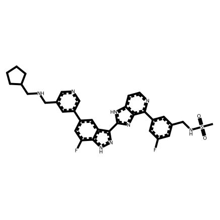 CS(=O)(=O)NCc1cc(F)cc(-c2nccc3[nH]c(-c4n[nH]c5c(F)cc(-c6cncc(CNCC7CCCC7)c6)cc45)nc23)c1